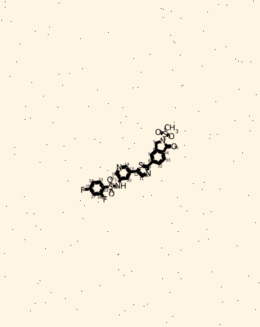 CS(=O)(=O)N1Cc2cc(-c3ncc(-c4cncc(NS(=O)(=O)c5ccc(F)cc5F)c4)s3)ccc2C1=O